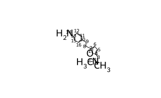 CN(C)Cc1ccc(CCc2ccc(N)cc2)o1